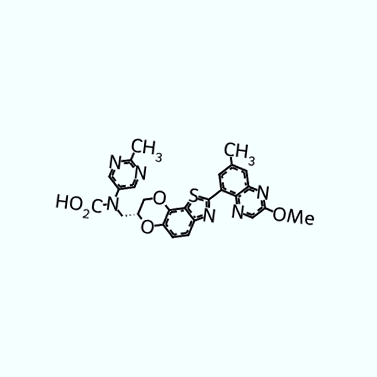 COc1cnc2c(-c3nc4ccc5c(c4s3)OC[C@@H](CN(C(=O)O)c3cnc(C)nc3)O5)cc(C)cc2n1